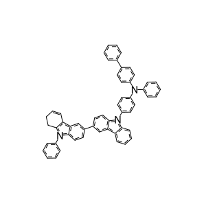 C1=Cc2c(n(-c3ccccc3)c3ccc(-c4ccc5c(c4)c4ccccc4n5-c4ccc(N(c5ccccc5)c5ccc(-c6ccccc6)cc5)cc4)cc23)CC1